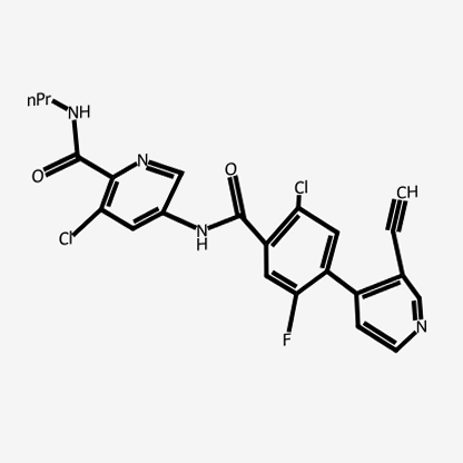 C#Cc1cnccc1-c1cc(Cl)c(C(=O)Nc2cnc(C(=O)NCCC)c(Cl)c2)cc1F